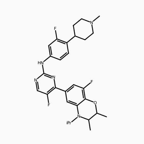 CC1Oc2c(F)cc(-c3nc(Nc4ccc(C5CCN(C)CC5)c(F)c4)ncc3F)cc2N(C(C)C)C1C